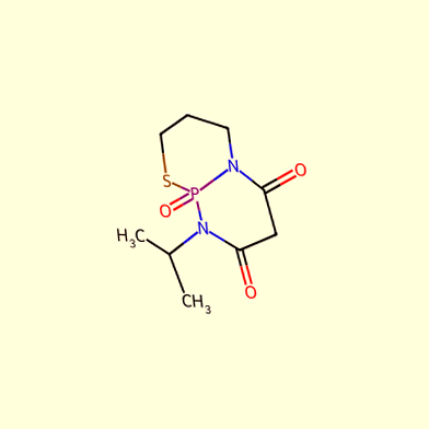 CC(C)N1C(=O)CC(=O)N2CCCSP21=O